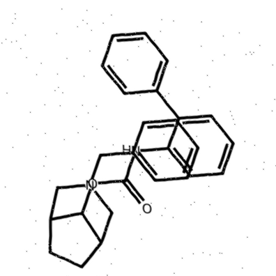 O=C(Nc1ccccc1-c1ccccc1)OC1C2CCC1CN(Cc1ccccc1)C2